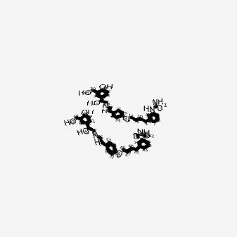 NC(=O)Nc1cccc(CCCCOc2ccc(CCNC[C@H](O)c3ccc(O)c(CO)c3)cc2)c1.NS(=O)(=O)c1cccc(CCCCOc2ccc(CCNC[C@H](O)c3ccc(O)c(CO)c3)cc2)c1